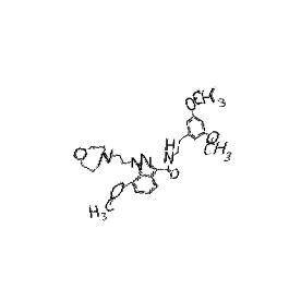 COc1cc(CCNC(=O)c2nn(CCN3CCOCC3)c3c(OC)cccc23)cc(OC)c1